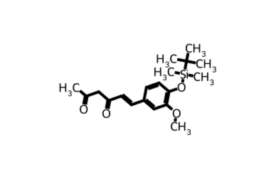 COc1cc(C=CC(=O)CC(C)=O)ccc1O[Si](C)(C)C(C)(C)C